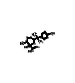 CC(C)(c1ccc(O)cc1)C1CCC(O)C(O)(C(=O)O)C1